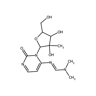 CN(C)C=Nc1ccnc(=O)n1C1OC(CO)C(O)C1(C)O